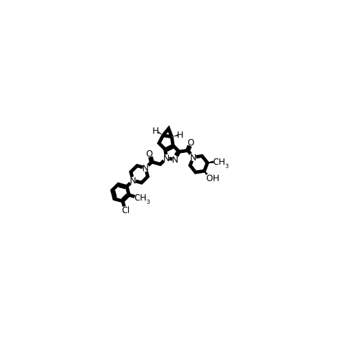 Cc1c(Cl)cccc1N1CCN(C(=O)Cn2nc(C(=O)N3CC[C@H](O)[C@H](C)C3)c3c2C[C@H]2C[C@@H]32)CC1